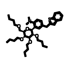 CCCCOC[C@H]1O[C@@H](c2cc(Cc3cc4ccccc4s3)ccc2N(C)C)[C@H](OCCCC)[C@@H](OCCCC)[C@@H]1OCCCC